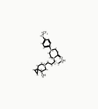 O=C1CCN(c2ccc(OC(F)(F)F)cc2)CCN1[C@H](CO)CCN1CCC2(CC2)[C@H](O)C1